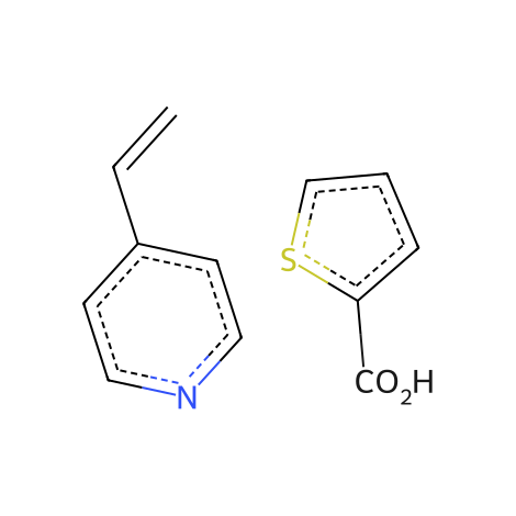 C=Cc1ccncc1.O=C(O)c1cccs1